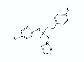 CC(CCc1ccc(Cl)cc1)(Cn1ccnc1)Oc1ccc(Br)cc1